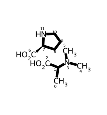 CC(C(=O)O)N(C)C.O=C(O)[C@@H]1CCCN1